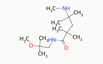 CNC(C)(C)CC(C)(C)C(=O)NCC(C)(C)OC